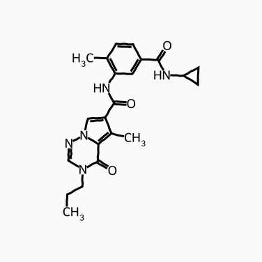 CCCn1cnn2cc(C(=O)Nc3cc(C(=O)NC4CC4)ccc3C)c(C)c2c1=O